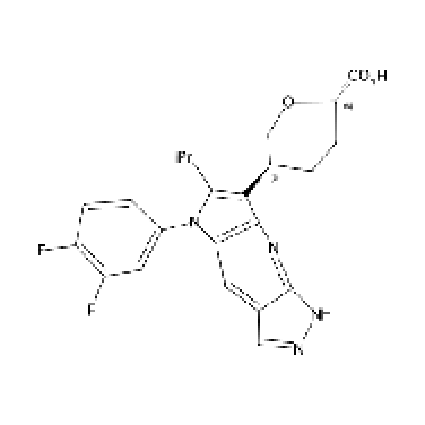 CC(C)c1c([C@@H]2CC[C@@H](C(=O)O)OC2)c2nc3[nH]ncc3cc2n1-c1ccc(F)c(F)c1